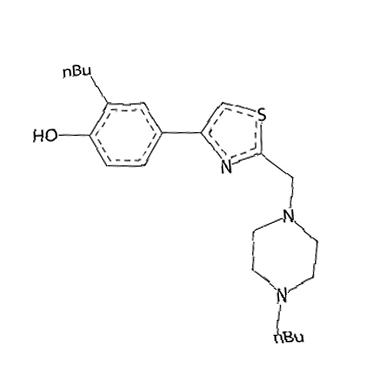 CCCCc1cc(-c2csc(CN3CCN(CCCC)CC3)n2)ccc1O